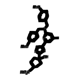 CCOC(=O)C1CCC(O)(c2ncc(-c3cc(C)cc(N(Cc4ccc(OC)cc4)Cc4ccc(OC)cc4)n3)s2)CC1